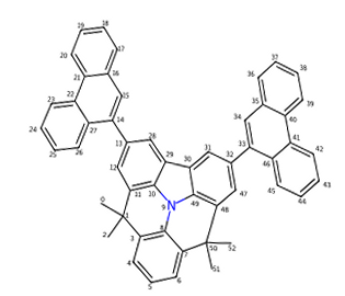 CC1(C)c2cccc3c2-n2c4c1cc(-c1cc5ccccc5c5ccccc15)cc4c1cc(-c4cc5ccccc5c5ccccc45)cc(c12)C3(C)C